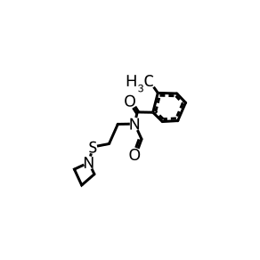 Cc1ccccc1C(=O)N(C=O)CCSN1CCC1